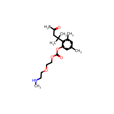 BC(=O)CC(C)(C)c1c(C)cc(C)cc1OC(=O)OCCOCCNC